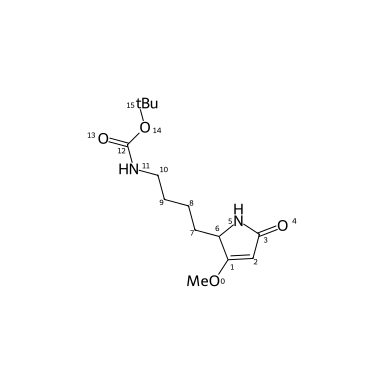 COC1=CC(=O)NC1CCCCNC(=O)OC(C)(C)C